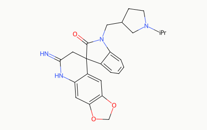 CC(C)N1CCC(CN2C(=O)C3(CC(=N)Nc4cc5c(cc43)OCO5)c3ccccc32)C1